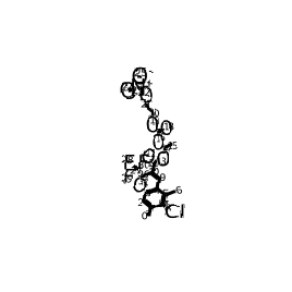 Cc1cc2c(c(C)c1Cl)C=C(C(=O)OC(C)OC(=O)OCCO[N+](=O)[O-])[C@@H](C(F)(F)F)O2